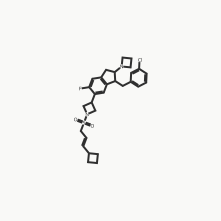 O=S(=O)(CC=CC1CCC1)N1CC(c2cc3c(cc2F)CC(N2CCC2)C3Cc2cccc(Cl)c2)C1